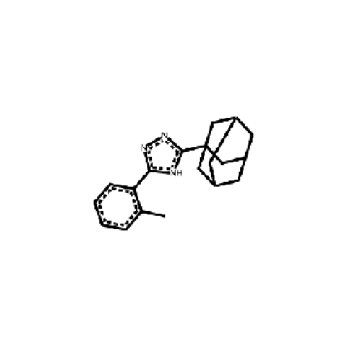 Cc1ccccc1-c1nnc(C23CC4CC(CC(C4)C2)C3)[nH]1